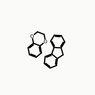 c1ccc2c(c1)Cc1ccccc1-2.c1ccc2c(c1)OCCO2